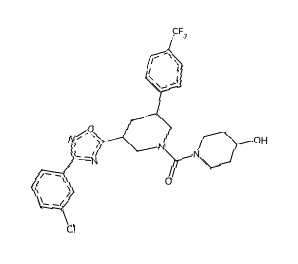 O=C(N1CCC(O)CC1)N1CC(c2ccc(C(F)(F)F)cc2)CC(c2nc(-c3cccc(Cl)c3)no2)C1